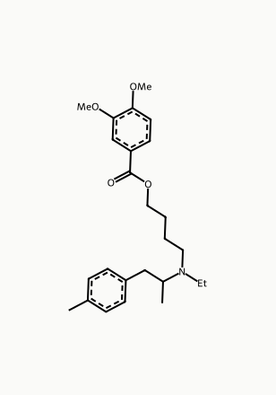 CCN(CCCCOC(=O)c1ccc(OC)c(OC)c1)C(C)Cc1ccc(C)cc1